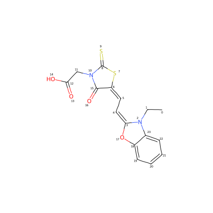 CCN1/C(=C\C=C2\SC(=S)N(CC(=O)O)C2=O)Oc2ccccc21